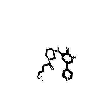 NC/C=C/C(=O)N1CCC[C@@H](Nc2cc(-c3ccncc3)c[nH]c2=O)C1